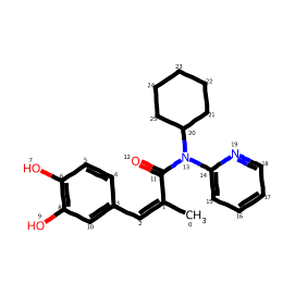 C/C(=C/c1ccc(O)c(O)c1)C(=O)N(c1ccccn1)C1CCCCC1